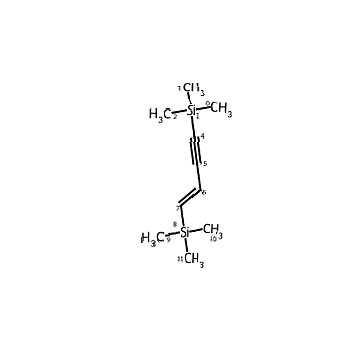 C[Si](C)(C)C#CC=C[Si](C)(C)C